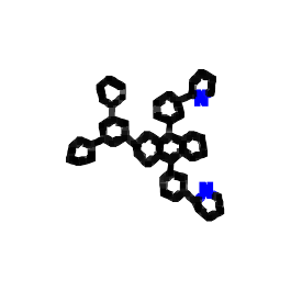 C1=CCC(c2cc(-c3ccccc3)cc(-c3ccc4c(-c5cccc(-c6ccccn6)c5)c5ccccc5c(-c5cccc(-c6ccccn6)c5)c4c3)c2)C=C1